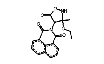 CCOC1(C)NOC(=O)C1N1C(=O)c2cccc3cccc(c23)C1=O